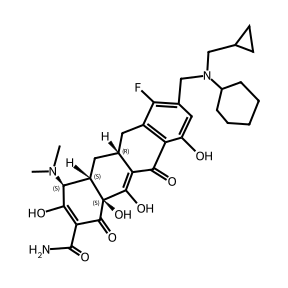 CN(C)[C@@H]1C(O)=C(C(N)=O)C(=O)[C@@]2(O)C(O)=C3C(=O)c4c(O)cc(CN(CC5CC5)C5CCCCC5)c(F)c4C[C@H]3C[C@@H]12